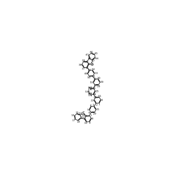 c1cc(-c2ccc(-c3cccc4c3sc3ccccc34)cc2)cc(-c2cc(-c3cccc(-c4ccc(-c5cccc6c5sc5ccccc56)cc4)c3)ncn2)c1